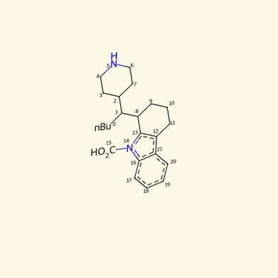 CCCCC(C1CCNCC1)C1CCCc2c1n(C(=O)O)c1ccccc21